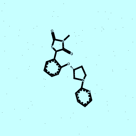 CN1C(=O)SC(c2ccccc2O[C@@H]2CCN(c3ccccn3)C2)C1=O